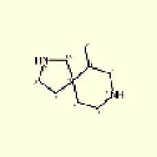 CC1CNCCC12CCNC2